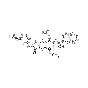 CCOc1cc2c(cc1C(=O)NC[C@@H](O)[C@@H]1Cc3ccccc3CN1)CN(Cc1cccc(OC)c1)C2=O.Cl